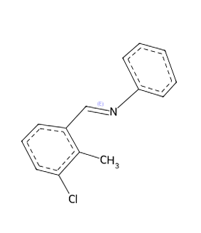 Cc1c(Cl)cccc1/C=N/c1ccccc1